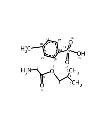 CC(C)COC(=O)CN.Cc1ccc(S(=O)(=O)O)cc1